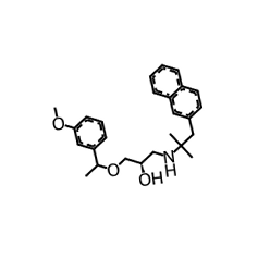 COc1cccc(C(C)OC[C@H](O)CNC(C)(C)Cc2ccc3ccccc3c2)c1